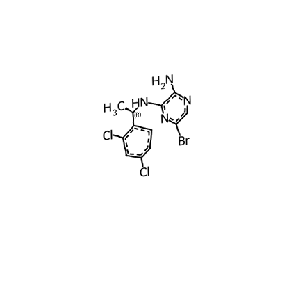 C[C@@H](Nc1nc(Br)cnc1N)c1ccc(Cl)cc1Cl